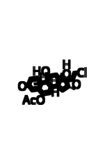 CC(=O)OC1=C[C@@H]2[C@H]([C@@H](O)C[C@@]3(C)[C@H]2C[C@@H](C)[C@]3(O)C(=O)CCl)[C@@]2(C)C=CC(=O)C=C12